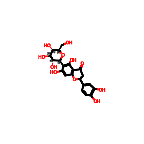 O=C1CC(c2ccc(O)c(O)c2)Oc2cc(O)c([C@@H]3O[C@H](CO)[C@@H](O)[C@H](O)[C@H]3O)c(O)c21